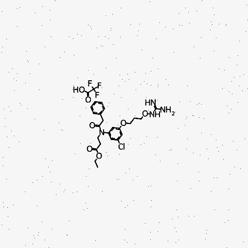 CCOC(=O)CCN(C(=O)Cc1ccccc1)c1cc(Cl)cc(OCCCONC(=N)N)c1.O=C(O)C(F)(F)F